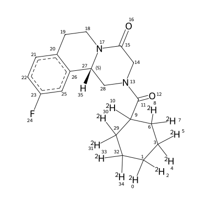 [2H]C1([2H])C([2H])([2H])C([2H])([2H])C([2H])(C(=O)N2CC(=O)N3CCc4ccc(F)cc4[C@H]3C2)C([2H])([2H])C1([2H])[2H]